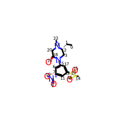 CC[C@@H]1CN(c2cc([N+](=O)[O-])cc(S(C)(=O)=O)c2)C(=O)CN1C